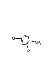 [C-]#[N+]c1ccc(C)c(Br)c1